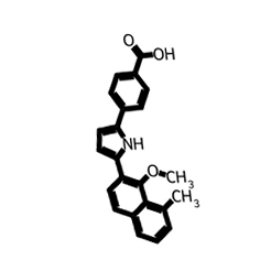 COc1c(-c2ccc(-c3ccc(C(=O)O)cc3)[nH]2)ccc2cccc(C)c12